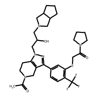 CC(=O)N1CCc2c(c(-c3ccc(C(F)(F)F)c(SCC(=O)N4CCCC4)c3)nn2CC(O)CN2CC3CCCC3C2)C1